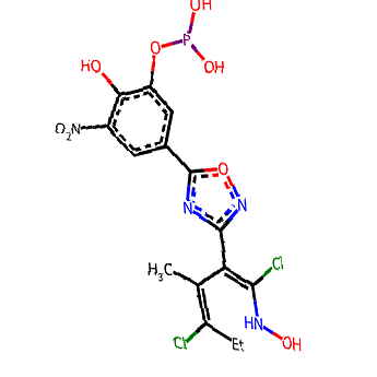 CC/C(Cl)=C(C)\C(=C(\Cl)NO)c1noc(-c2cc(OP(O)O)c(O)c([N+](=O)[O-])c2)n1